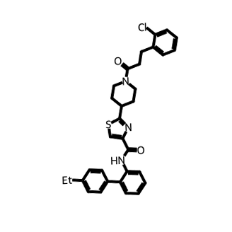 CCc1ccc(-c2ccccc2NC(=O)c2csc(C3CCN(C(=O)CCc4ccccc4Cl)CC3)n2)cc1